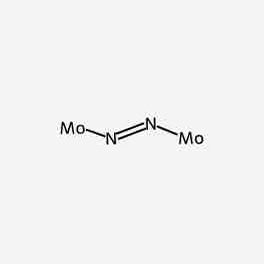 [Mo][N]=[N][Mo]